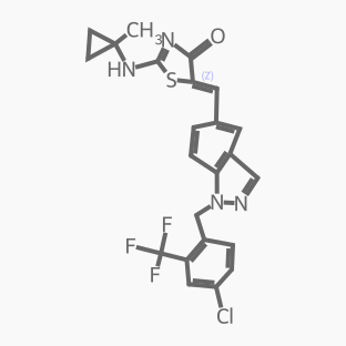 CC1(NC2=NC(=O)/C(=C/c3ccc4c(cnn4Cc4ccc(Cl)cc4C(F)(F)F)c3)S2)CC1